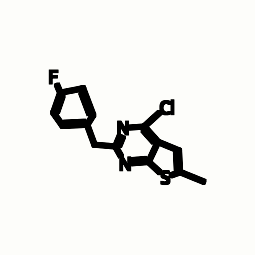 Cc1cc2c(Cl)nc(Cc3ccc(F)cc3)nc2s1